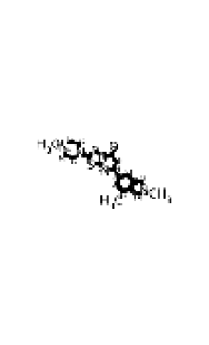 Cc1cc(-c2cc(=O)n3nc(N4CCN(C)CC4)sc3n2)cc2cn(C)nc12